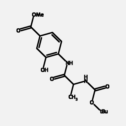 COC(=O)c1ccc(NC(=O)C(C)NC(=O)OC(C)(C)C)c(O)c1